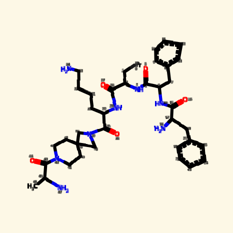 CC(C)CC(NC(=O)C(Cc1ccccc1)NC(=O)C(N)Cc1ccccc1)C(=O)NC(CCCCN)C(=O)N1CC2(CCN(C(=O)C(C)N)CC2)C1